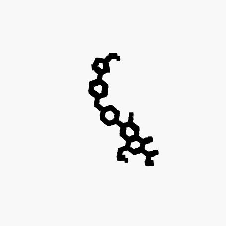 CCn1cc(C(=O)O)c(=O)c2cc(F)c(N3CCN(Cc4ccc(C5=NCC(C)=N5)cc4)CC3)cc21